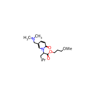 COCCCOC(=O)C(CC(C)C)n1cc(CN(C)C)ccc1=O